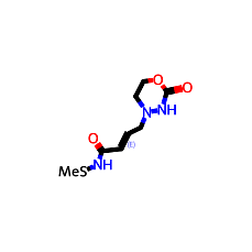 CSNC(=O)/C=C/CN1CCOC(=O)N1